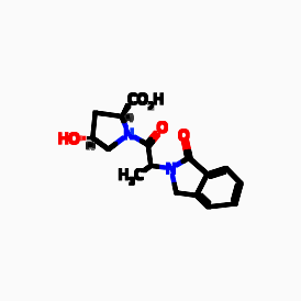 CC(C(=O)N1C[C@H](O)C[C@H]1C(=O)O)N1Cc2ccccc2C1=O